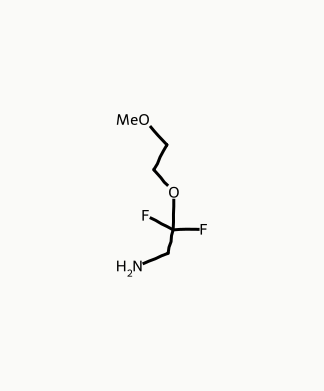 COCCOC(F)(F)CN